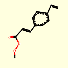 C=Cc1ccc(C=CC(=O)OOC)cc1